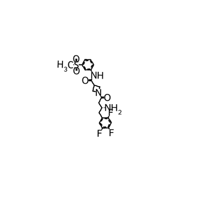 CS(=O)(=O)c1cccc(NC(=O)C2CN(C(=O)C[C@H](N)Cc3cc(F)c(F)cc3F)C2)c1